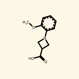 COc1ccccc1N1CC(C(=O)O)C1